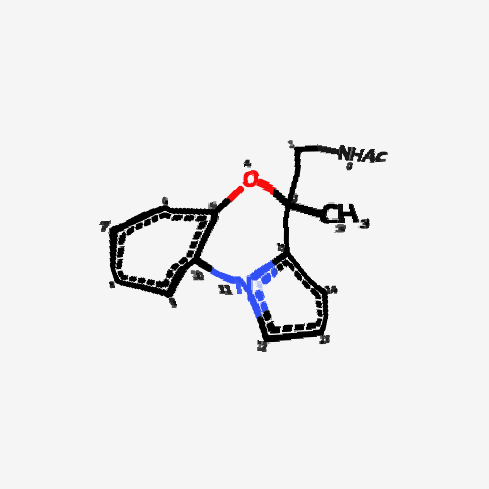 CC(=O)NCC1(C)Oc2ccccc2-n2cccc21